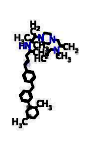 C#CCN(C)C(=C)CN1CCN(C(=C)C(C)(C)NC(=C)C/C=C/c2ccc(Cc3cccc([C@@H]4C[C@H](C)CCC4C)c3)cc2)CC1